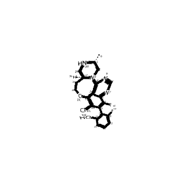 C[C@@H]1CN2c3ncnc4c(F)c(-c5c(O)cccc5F)c(Cl)c(c34)OCC[C@H]2CN1